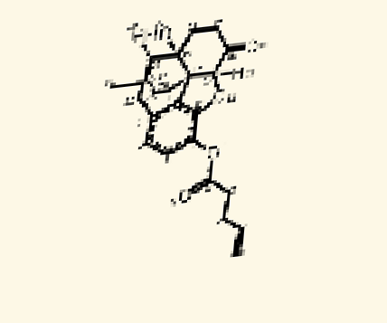 C=CCCC(=O)Oc1ccc2c3c1O[C@H]1C(=O)CC[C@@]4(O)[C@@H](C2)N(C)CC[C@]314